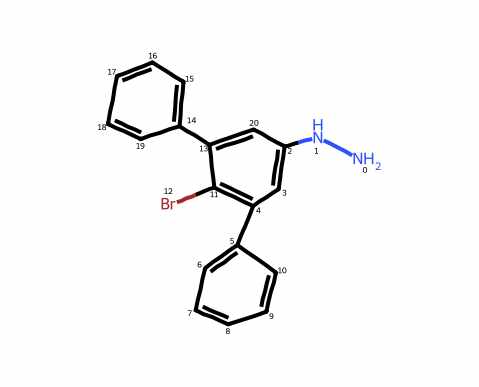 NNc1cc(-c2ccccc2)c(Br)c(-c2ccccc2)c1